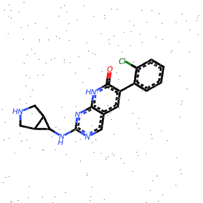 O=c1[nH]c2nc(NC3C4CNCC43)ncc2cc1-c1ccccc1Cl